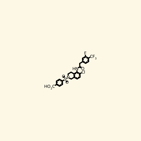 O=C(Cc1ccc(C(F)(F)F)c(F)c1)Nc1c(Cl)ccc2c1CCN(S(=O)(=O)c1ccc(C(=O)O)cc1)C2